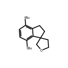 CC(C)(C)c1ccc(C(C)(C)C)c2c1CCC21CCOC1